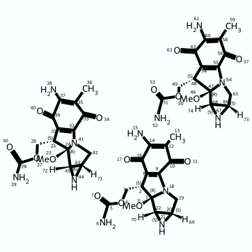 CO[C@@]12[C@H](COC(N)=O)C3=C(C(=O)C(C)=C(N)C3=O)N1C[C@@H]1N[C@@H]12.CO[C@@]12[C@H](COC(N)=O)C3=C(C(=O)C(C)=C(N)C3=O)N1C[C@@H]1N[C@@H]12.CO[C@@]12[C@H](COC(N)=O)C3=C(C(=O)C(C)=C(N)C3=O)N1C[C@@H]1N[C@@H]12